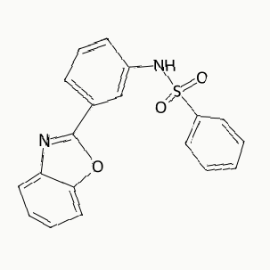 O=S(=O)(Nc1cccc(-c2nc3ccccc3o2)c1)c1ccccc1